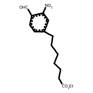 CCOC(=O)CCCCCCc1ccc(C=O)c([N+](=O)[O-])c1